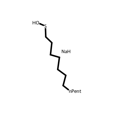 CCCCCCCCCCCCSO.[NaH]